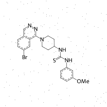 COc1cccc(NC(=S)NC2CCN(c3nncc4ccc(Br)cc34)CC2)c1